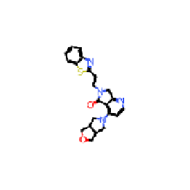 O=C1c2c(N3CC4COCC4C3)ccnc2CN1CCc1nc2ccccc2s1